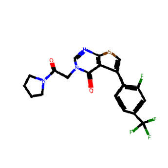 O=C(Cn1cnc2scc(-c3ccc(C(F)(F)F)cc3F)c2c1=O)N1CCCC1